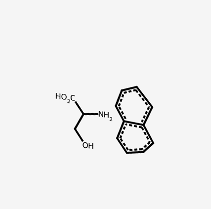 NC(CO)C(=O)O.c1ccc2ccccc2c1